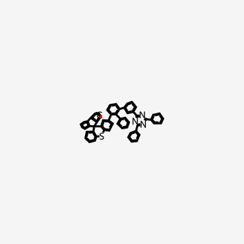 c1ccc(-c2nc(-c3ccccc3)nc(-c3cccc(-c4cccc(-c5ccc6c(c5)C5(c7ccccc7S6)c6ccccc6-c6ccccc65)c4-c4ccccc4)c3)n2)cc1